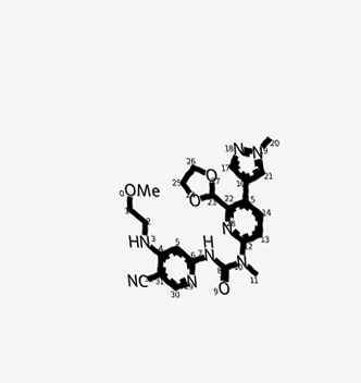 COCCNc1cc(NC(=O)N(C)c2ccc(-c3cnn(C)c3)c(C3OCCO3)n2)ncc1C#N